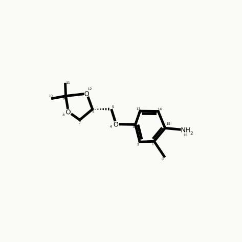 Cc1cc(OC[C@@H]2COC(C)(C)O2)ccc1N